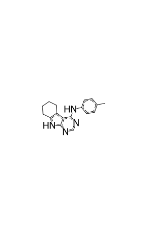 Cc1ccc(Nc2ncnc3[nH]c4c(c23)CCCC4)cc1